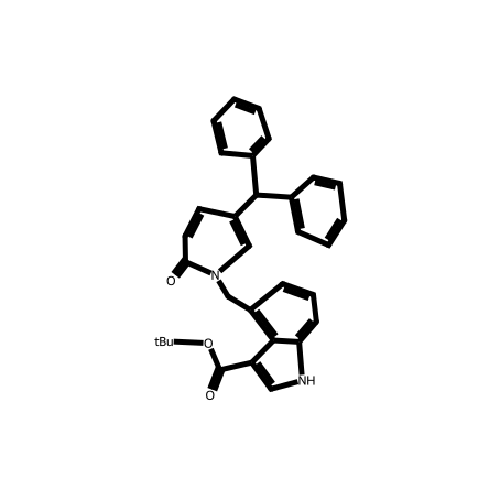 CC(C)(C)OC(=O)c1c[nH]c2cccc(Cn3cc(C(c4ccccc4)c4ccccc4)ccc3=O)c12